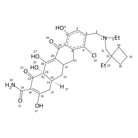 CCN(Cc1cc(O)c2c(c1Cl)CC1C[C@H]3CC(O)=C(C(N)=O)C(=O)[C@@]3(O)C(O)=C1C2=O)CC1(CC)CCC1